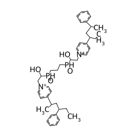 CCC(CC(C)c1cc[n+](CC(O)[PH](=O)CCC[PH](=O)C(O)C[n+]2ccc(C(CC)CC(C)c3ccccc3)cc2)cc1)c1ccccc1